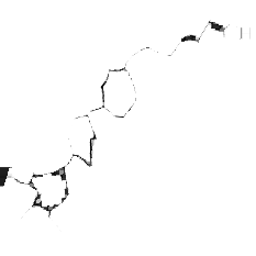 C=C/C=C/CCC1CCC(C2CCC(c3cc(F)c(F)c(F)c3)CC2)CC1